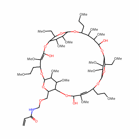 C=CC(=O)NCOCC1OC2OC(CCOC)/C(OC)=C(\O)OC3C(COC)OC(OC(CCOC)C(OC)C(OC)C(O)OC4C(COC)OC(OC(CCOC)/C=C(/OC)C(O)OC1C(OC)C2OC)C(OC)C4OC)C(OC)C3OC